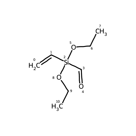 C=C[Si](C=O)(OCC)OCC